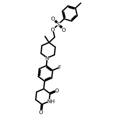 Cc1ccc(S(=O)(=O)OCC2(C)CCN(c3ccc(C4CCC(=O)NC4=O)cc3F)CC2)cc1